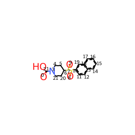 O=C(O)N1CCC(S(=O)(=O)c2ccc3ccccc3c2)CC1